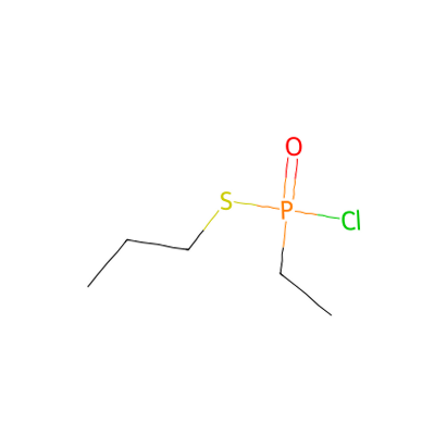 CCCSP(=O)(Cl)CC